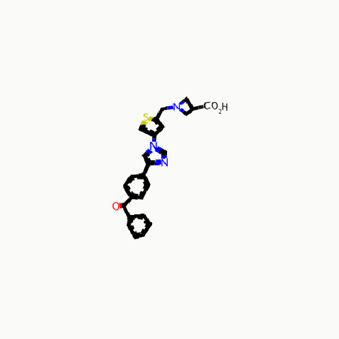 O=C(c1ccccc1)c1ccc(-c2cn(-c3csc(CN4CC(C(=O)O)C4)c3)cn2)cc1